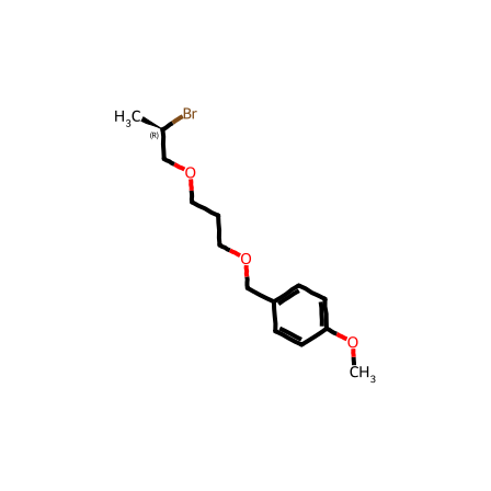 COc1ccc(COCCCOC[C@@H](C)Br)cc1